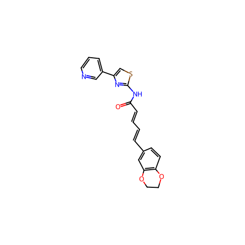 O=C(/C=C/C=C/c1ccc2c(c1)OCCO2)Nc1nc(-c2cccnc2)cs1